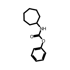 O=C(NC1CCCCCC1)Oc1ccccc1